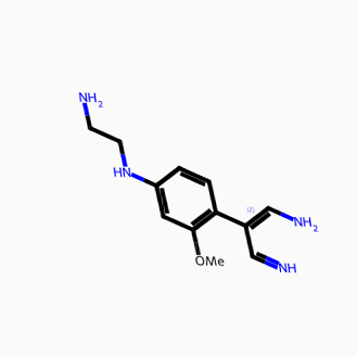 COc1cc(NCCN)ccc1/C(C=N)=C/N